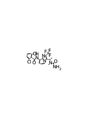 CC(c1c(C(F)(F)F)nc2c(NC(=O)c3c(Cl)cccc3Cl)cccn12)N(C)C(N)=O